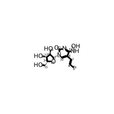 O=c1nc(NO)c(/C=C/I)cn1[C@@H]1O[C@H](CO)[C@@H](O)[C@H]1O